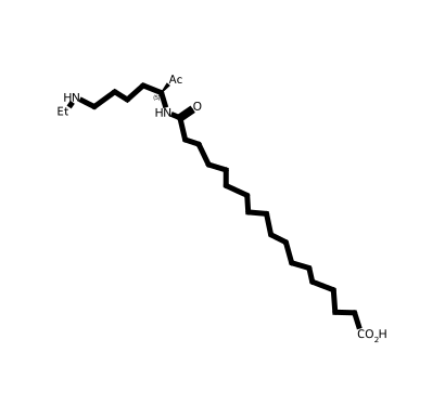 CCNCCCC[C@H](NC(=O)CCCCCCCCCCCCCCCCC(=O)O)C(C)=O